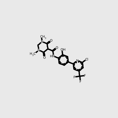 CN1CN(C)C(=O)C(C(=O)Nc2ccc(-c3cc(C(F)(F)F)cc(Cl)n3)cc2O)C1=O